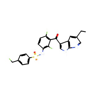 CCc1cnc2[nH]cc(C(=O)c3c(F)ccc(NS(=O)(=O)c4ccc(CF)cc4)c3F)c2c1